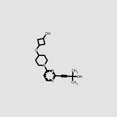 CC(C)(O)C#Cc1nccc(N2CCC(OC3CC(O)C3)CC2)n1